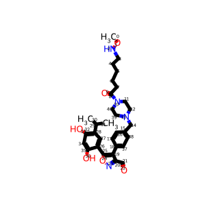 CONCCCCCC(=O)N1CCN(Cc2ccc(-c3c(C=O)noc3-c3cc(C(C)C)c(O)cc3O)cc2)CC1